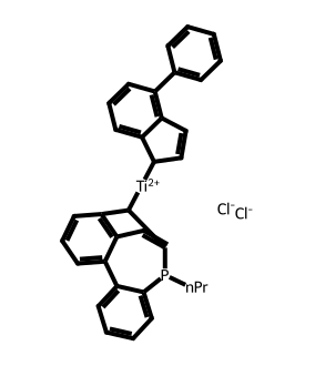 CCCP1C2=Cc3c(cccc3[CH]2[Ti+2][CH]2C=Cc3c(-c4ccccc4)cccc32)-c2ccccc21.[Cl-].[Cl-]